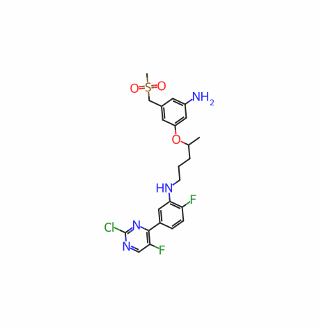 CC(CCCNc1cc(-c2nc(Cl)ncc2F)ccc1F)Oc1cc(N)cc(CS(C)(=O)=O)c1